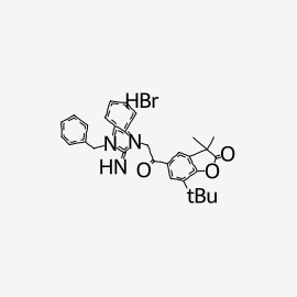 Br.CC(C)(C)c1cc(C(=O)Cn2c(=N)n(Cc3ccccc3)c3ccccc32)cc2c1OC(=O)C2(C)C